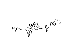 C=CC(=O)OCCCC(F)(F)CCCOc1ccc(/C=C(\C=O)c2ccc(CCCCC)cc2OC(F)(F)F)c(OC)c1